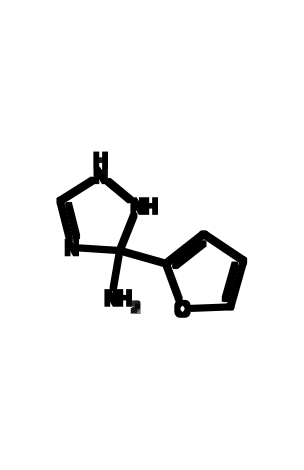 NC1(c2ccco2)N=CNN1